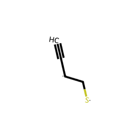 C#C[CH]C[S]